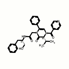 CC(C)[C@@H]1C(=O)N(CC(=O)N[C@H](CO)Cc2ccccc2)C(c2ccccc2)=CN1C(=O)c1ccncc1